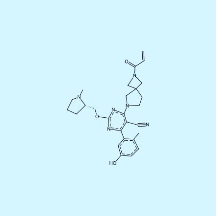 C=CC(=O)N1CC2(CCN(c3nc(OC[C@@H]4CCCN4C)nc(-c4cc(O)ccc4C)c3C#N)C2)C1